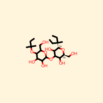 CCC(C)(C)OC1C(CO)OC(OC2C(O)[C@H](CO)O[C@@H](C(C)(CC)CC)C2O)C(O)C1O